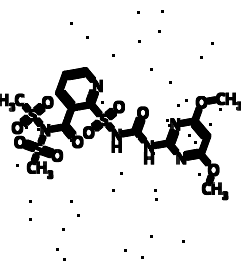 COc1cc(OC)nc(NC(=O)NS(=O)(=O)c2ncccc2C(=O)N(S(C)(=O)=O)S(C)(=O)=O)n1